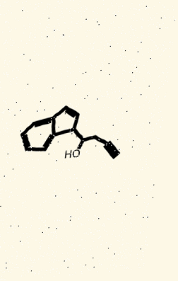 C#CCC(O)C1C=Cc2ccccc21